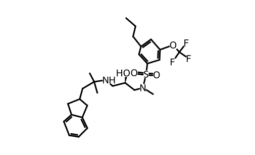 CCCc1cc(OC(F)(F)F)cc(S(=O)(=O)N(C)C[C@H](O)CNC(C)(C)CC2Cc3ccccc3C2)c1